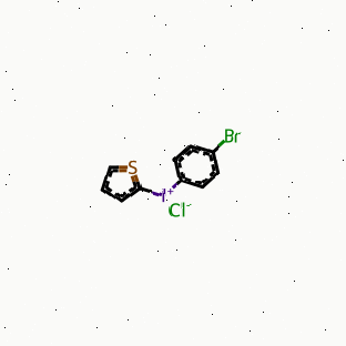 Brc1ccc([I+]c2cccs2)cc1.[Cl-]